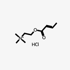 CC=CC(=O)OCC[N+](C)(C)C.Cl